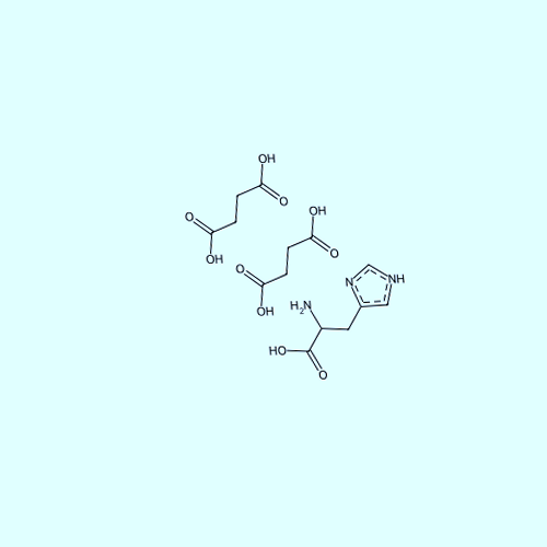 NC(Cc1c[nH]cn1)C(=O)O.O=C(O)CCC(=O)O.O=C(O)CCC(=O)O